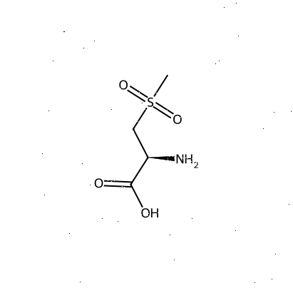 CS(=O)(=O)C[C@@H](N)C(=O)O